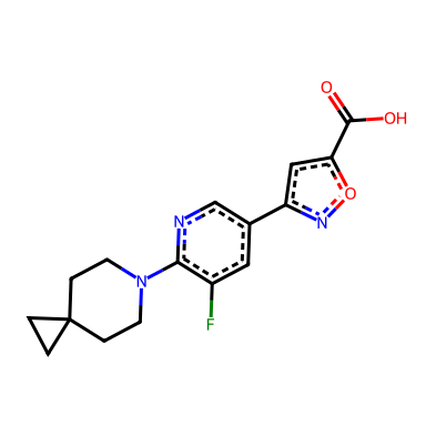 O=C(O)c1cc(-c2cnc(N3CCC4(CC3)CC4)c(F)c2)no1